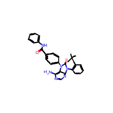 CC(C)(C)c1[c]cccc1-n1c(=O)n(-c2ccc(C(=O)Nc3ccccc3)cc2)c2c(N)ncnc21